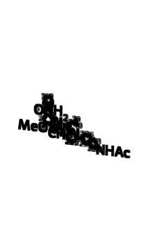 COc1cc(C(=O)N2CC3CCC2C3N)cc2nc(-c3cc4ccc(-c5ccc6c(c5)CC(NC(C)=O)C6)nc4n3CC3CC3)n(C)c12